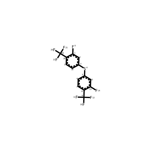 Fc1cc(Sc2ccc(C(F)(F)F)c(F)c2)ccc1C(F)(F)F